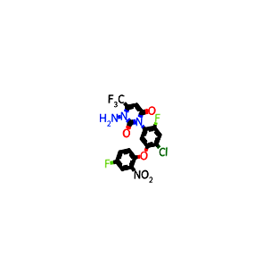 Nn1c(C(F)(F)F)cc(=O)n(-c2cc(Oc3ccc(F)cc3[N+](=O)[O-])c(Cl)cc2F)c1=O